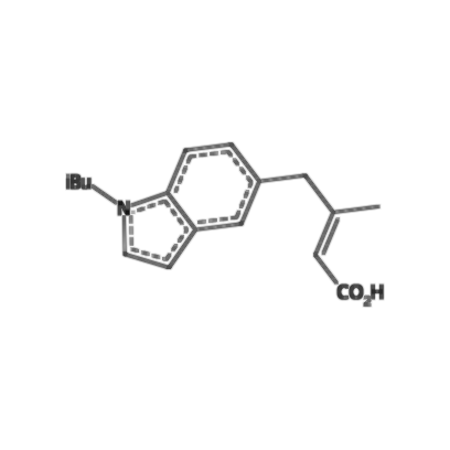 CCC(C)n1ccc2cc(CC(C)=CC(=O)O)ccc21